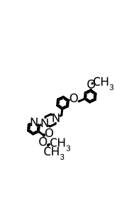 COc1cccc(COc2cccc(CN3CCN(c4ncccc4C(=O)OC(C)C)CC3)c2)c1